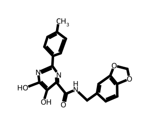 Cc1ccc(-c2nc(O)c(O)c(C(=O)NCc3ccc4c(c3)OCO4)n2)cc1